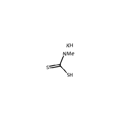 CNC(=S)S.[KH]